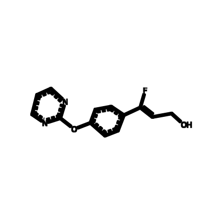 OC/C=C(\F)c1ccc(Oc2ncccn2)cc1